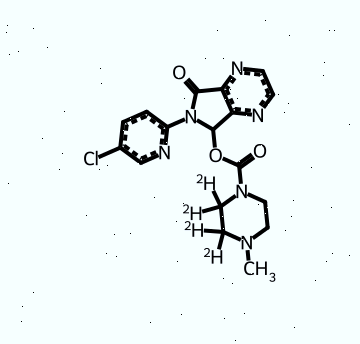 [2H]C1([2H])N(C)CCN(C(=O)OC2c3nccnc3C(=O)N2c2ccc(Cl)cn2)C1([2H])[2H]